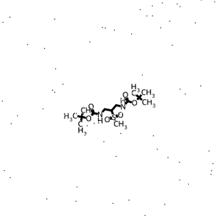 CC(C)(C)OC(=O)NCC(CNC(=O)OC(C)(C)C)S(C)(=O)=O